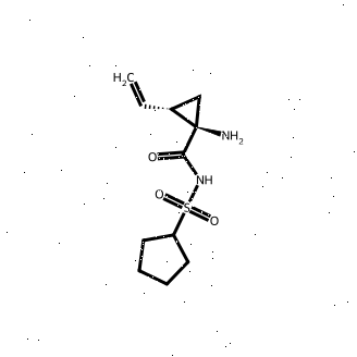 C=C[C@@H]1C[C@]1(N)C(=O)NS(=O)(=O)C1CCCC1